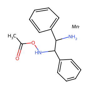 CC(=O)ONC(c1ccccc1)C(N)c1ccccc1.[Mn]